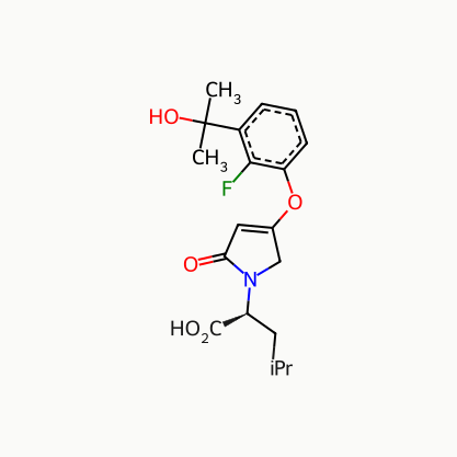 CC(C)C[C@@H](C(=O)O)N1CC(Oc2cccc(C(C)(C)O)c2F)=CC1=O